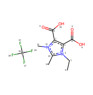 CCn1c(C(=O)O)c(C(=O)O)[n+](C)c1C.F[B-](F)(F)F